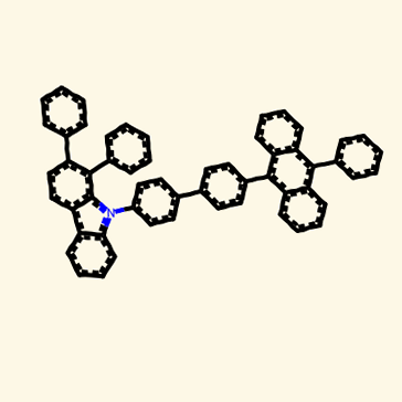 c1ccc(-c2ccc3c4ccccc4n(-c4ccc(-c5ccc(-c6c7ccccc7c(-c7ccccc7)c7ccccc67)cc5)cc4)c3c2-c2ccccc2)cc1